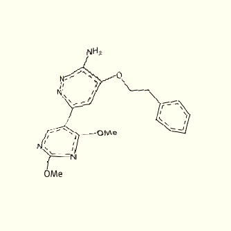 COc1ncc(-c2cc(OCCc3ccccc3)c(N)nn2)c(OC)n1